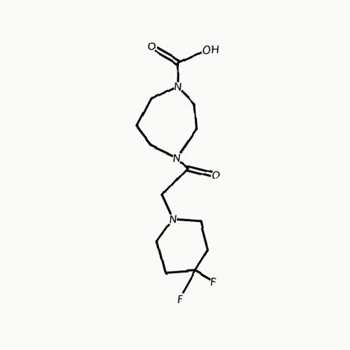 O=C(O)N1CCCN(C(=O)CN2CCC(F)(F)CC2)CC1